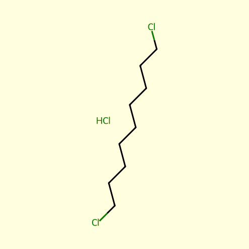 Cl.ClCCCCCCCCCCl